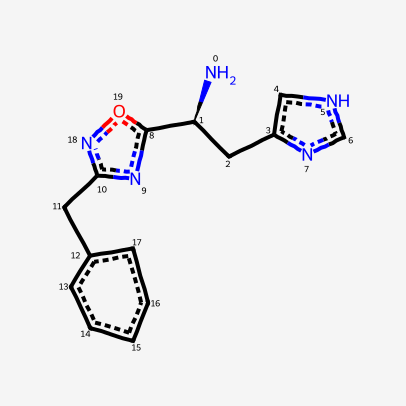 N[C@@H](Cc1c[nH]cn1)c1nc(Cc2ccccc2)no1